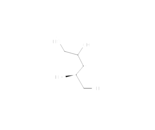 CC[C@@H](C)CC(C)CO